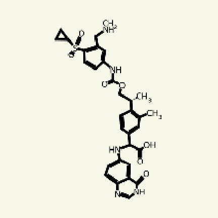 CNCc1cc(NC(=O)OC[C@H](C)c2ccc(C(Nc3ccc4nc[nH]c(=O)c4c3)C(=O)O)cc2C)ccc1S(=O)(=O)C1CC1